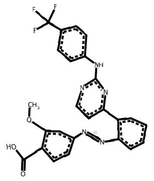 COc1cc(/N=N/c2ccccc2-c2ccnc(Nc3ccc(C(F)(F)F)cc3)n2)ccc1C(=O)O